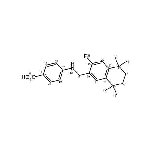 CC1(C)CCC(C)(C)c2cc(CNc3ccc(C(=O)O)cc3)c(F)cc21